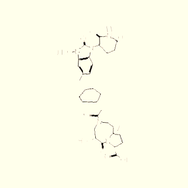 C[C@H]1CN(C(=O)C[C@H]2CC[C@@H](Cc3ccc4c(c3)n(C)c(=O)n4C3CCC(=O)NC3=O)CC2)CC[C@H]2CC[C@@H](C(=O)O)N2C1=O